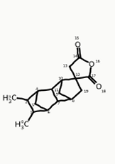 CC1C(C)C2CC1C1C3CC(C21)C1(CC(=O)OC1=O)C3